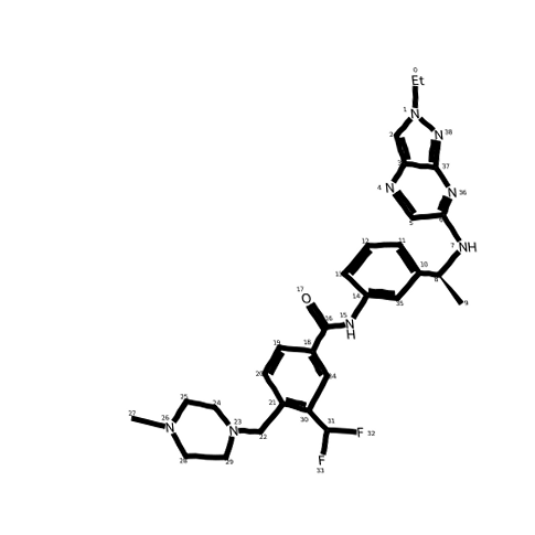 CCn1cc2ncc(N[C@@H](C)c3cccc(NC(=O)c4ccc(CN5CCN(C)CC5)c(C(F)F)c4)c3)nc2n1